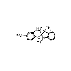 CN1c2ccccc2C(C)(C)C12C=Cc1cc(C(=O)O)ccc1O2